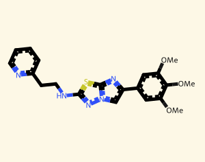 COc1cc(-c2cn3nc(NCCc4ccccn4)sc3n2)cc(OC)c1OC